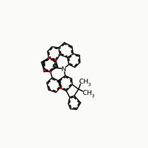 CC1(C)c2ccccc2-c2ccc(N(c3ccccc3-c3ccccc3)c3cccc4ccc5ccc6ccccc6c5c34)cc21